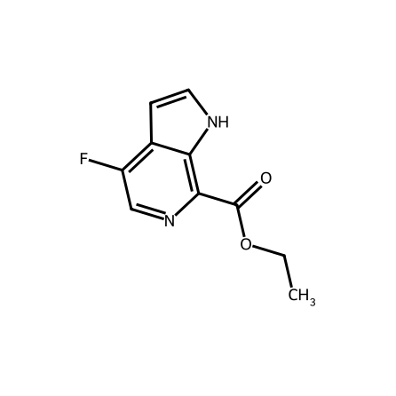 CCOC(=O)c1ncc(F)c2cc[nH]c12